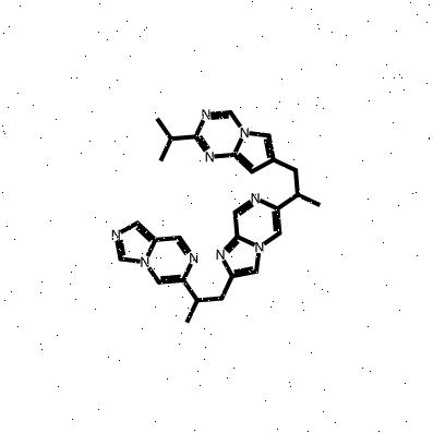 CC(C)c1ncn2cc(CC(C)c3cn4cc(CC(C)c5cn6cncc6cn5)nc4cn3)cc2n1